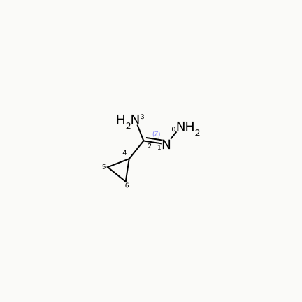 N/N=C(\N)C1CC1